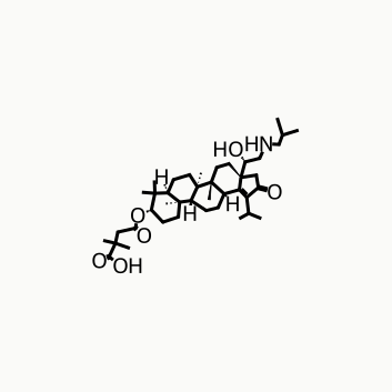 CC(C)CNC[C@@H](O)[C@@]12CC[C@]3(C)[C@H](CC[C@@H]4[C@@]5(C)CC[C@H](OC(=O)CC(C)(C)C(=O)O)C(C)(C)[C@H]5CC[C@]43C)C1=C(C(C)C)C(=O)C2